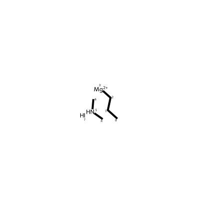 CC[CH2][Mg+2].CNC.I